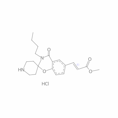 CCCCN1C(=O)c2cc(/C=C/C(=O)OC)ccc2OC12CCNCC2.Cl